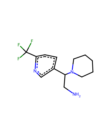 NCC(c1ccc(C(F)(F)F)nc1)N1CCCCC1